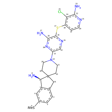 CSc1ccc2c(c1)[C@@H](N)C1(CCN(c3cnc(Sc4ccnc(N)c4Cl)c(N)n3)CC1)C2